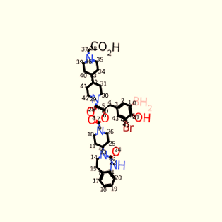 Bc1cc(C[C@@H](OC(=O)N2CCC(N3CCc4ccccc4NC3=O)CC2)C(=O)N2CCC(C3CCN(CC(=O)O)CC3)CC2)cc(Br)c1O